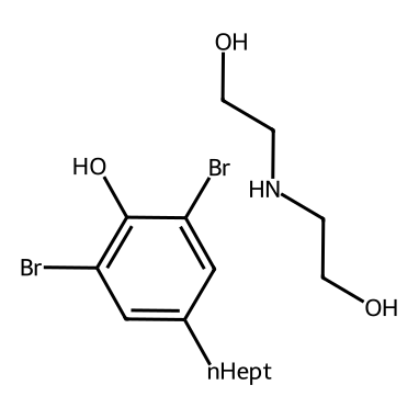 CCCCCCCc1cc(Br)c(O)c(Br)c1.OCCNCCO